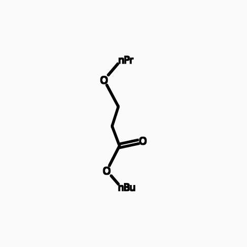 CCCCOC(=O)CCOCCC